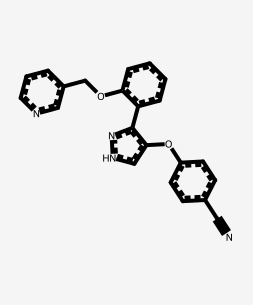 N#Cc1ccc(Oc2c[nH]nc2-c2ccccc2OCc2cccnc2)cc1